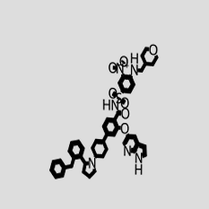 O=C(NS(=O)(=O)c1ccc(NCC2CCOCC2)c([N+](=O)[O-])c1)c1ccc(C2=CCC(N3CCCC3c3ccccc3Cc3ccccc3)CC2)cc1Oc1cnc2[nH]ccc2c1